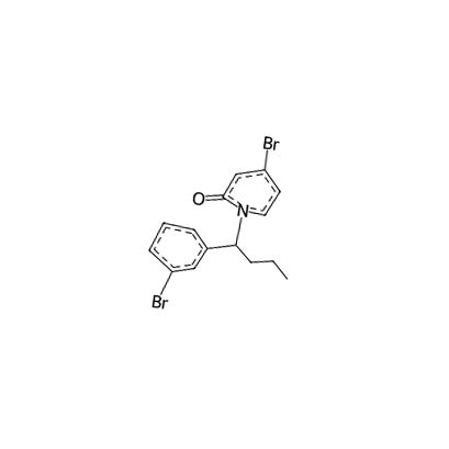 CCCC(c1cccc(Br)c1)n1ccc(Br)cc1=O